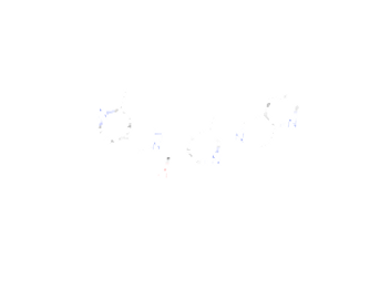 Cc1cc(CNC(=O)c2cnc(N3CCc4ncccc4C3)c(C)c2)ccn1